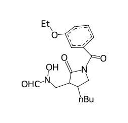 CCCCC1CN(C(=O)c2cccc(OCC)c2)C(=O)C1CN(O)C=O